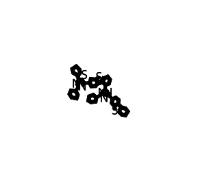 c1ccc(-c2nc(-c3ccc4c(c3)sc3ccccc34)nc(-c3cccc4sc5cc(-c6nc(-c7ccccc7)nc7c6sc6ccccc67)ccc5c34)n2)cc1